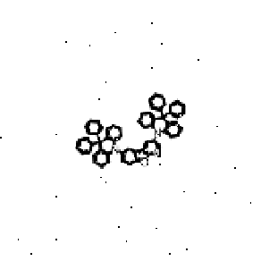 c1ccc(C2(c3ccccc3)c3ccccc3N(c3ccc4oc5ncc(N6c7ccccc7C(c7ccccc7)(c7ccccc7)c7ccccc76)cc5c4c3)c3ccccc32)cc1